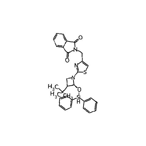 CC(C)(C)C1CN(c2nc(CN3C(=O)c4ccccc4C3=O)cs2)C1O[SiH](c1ccccc1)c1ccccc1